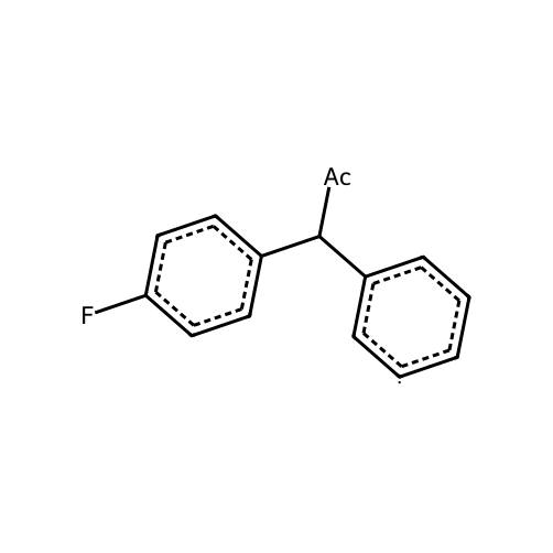 CC(=O)C(c1c[c]ccc1)c1ccc(F)cc1